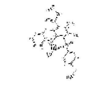 COc1ccc(S(=O)(=O)c2c(C)c(N)c(-c3ccco3)c(Cc3cccnc3)c2C(=O)NO)cc1